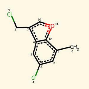 Cc1cc(Cl)cc2c(CCl)coc12